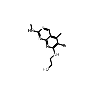 CNc1ncc2c(C)c(Br)c(NCCO)nc2n1